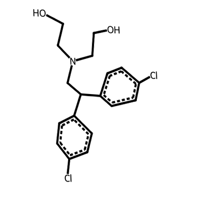 OCCN(CCO)CC(c1ccc(Cl)cc1)c1ccc(Cl)cc1